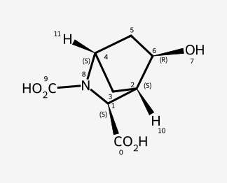 O=C(O)[C@@H]1[C@@H]2C[C@@H](C[C@H]2O)N1C(=O)O